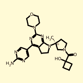 C[C@]1(N2CCc3c(-c4cnc(N)nc4)nc(N4CCOCC4)nc32)CCN(C(=O)C2(O)CCC2)C1